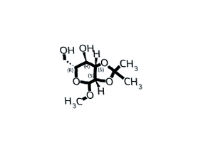 COC1O[C@H](CO)[C@@H](O)[C@@H]2OC(C)(C)O[C@H]12